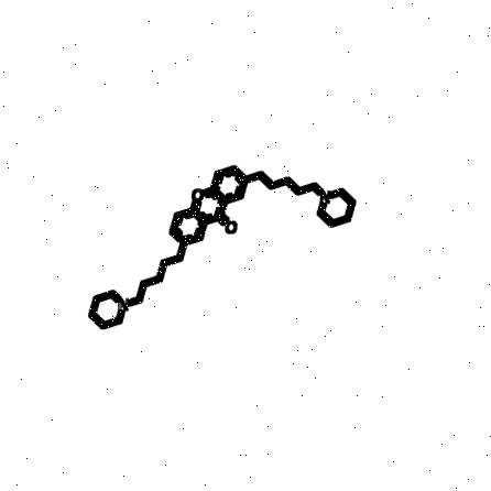 O=c1c2cc(CCCCCN3CCCCC3)ccc2oc2ccc(CCCCCN3CCCCC3)cc12